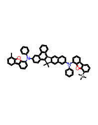 Cc1cccc2c1oc1c(N(c3ccccc3)c3ccc4c5c(c6ccccc6c4c3)-c3cc4ccc(N(c6ccccc6)c6cccc7c6oc6c([Si](C)(C)C)cccc67)cc4cc3C5(C)C)cccc12